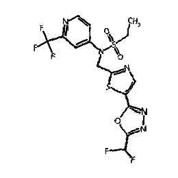 CCS(=O)(=O)N(Cc1ncc(-c2nnc(C(F)F)o2)s1)c1ccnc(C(F)(F)F)c1